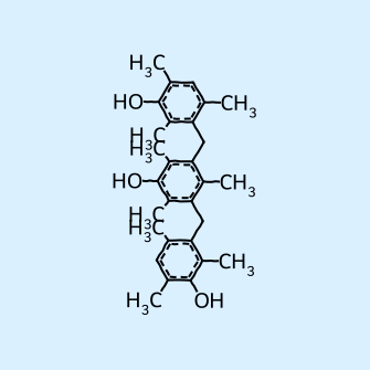 Cc1cc(C)c(Cc2c(C)c(O)c(C)c(Cc3c(C)cc(C)c(O)c3C)c2C)c(C)c1O